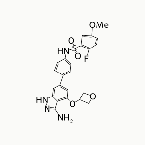 COc1ccc(F)c(S(=O)(=O)Nc2ccc(-c3cc(OC4COC4)c4c(N)n[nH]c4c3)cc2)c1